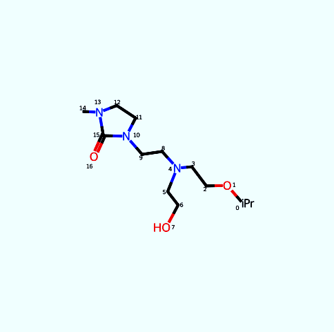 CC(C)OCCN(CCO)CCN1CCN(C)C1=O